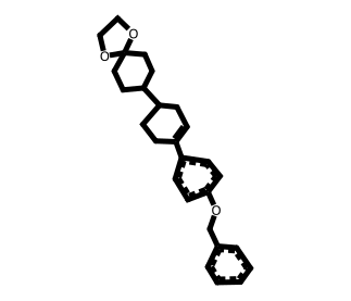 C1=C(c2ccc(OCc3ccccc3)cc2)CCC(C2CCC3(CC2)OCCO3)C1